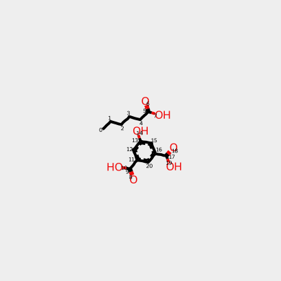 CCCCCC(=O)O.O=C(O)c1cc(O)cc(C(=O)O)c1